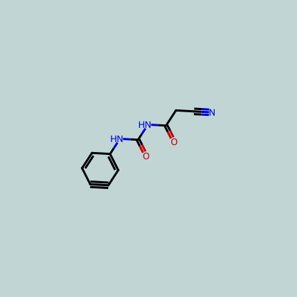 N#CCC(=O)NC(=O)Nc1cc#ccc1